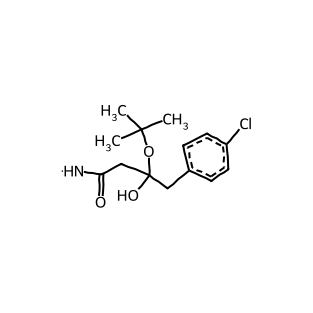 CC(C)(C)OC(O)(CC([NH])=O)Cc1ccc(Cl)cc1